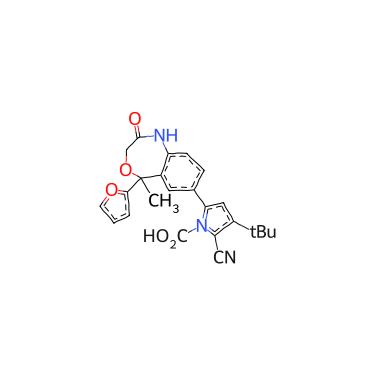 CC(C)(C)c1cc(-c2ccc3c(c2)C(C)(c2ccco2)OCC(=O)N3)n(C(=O)O)c1C#N